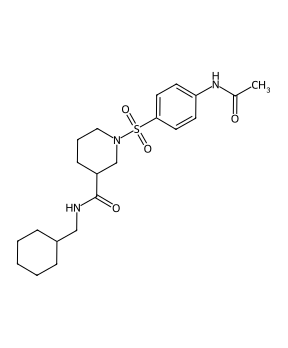 CC(=O)Nc1ccc(S(=O)(=O)N2CCCC(C(=O)NCC3CCCCC3)C2)cc1